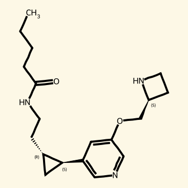 CCCCC(=O)NCC[C@H]1C[C@@H]1c1cncc(OC[C@@H]2CCN2)c1